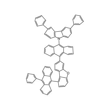 c1ccc(-c2ccc3c(c2)c2cc(-c4ccccc4)ccc2n3-c2c3ccccc3c(-c3ccc4c(c3)oc3cccc(-c5c6ccccc6c(-c6ccccc6)c6ccccc56)c34)c3ccccc23)cc1